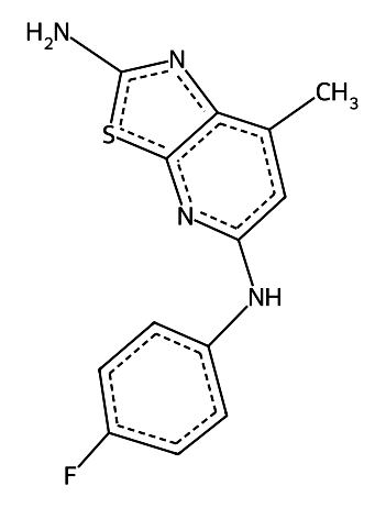 Cc1cc(Nc2ccc(F)cc2)nc2sc(N)nc12